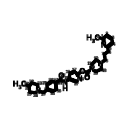 Cc1cccc(CCCN2CCN(C(=O)Oc3ccc(NC(=O)c4ccc(CN5CCC(C)CC5)cc4)cn3)CC2)n1